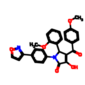 COc1ccc(C(=O)C2=C(O)C(=O)N(c3ccc(-c4ccon4)cc3)C2c2ccccc2OC)cc1